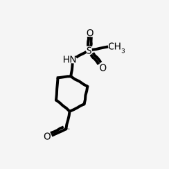 CS(=O)(=O)NC1CCC([C]=O)CC1